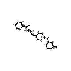 O=C(NN=CC1CCN(Cc2cccc(F)c2)CC1)c1ccccn1